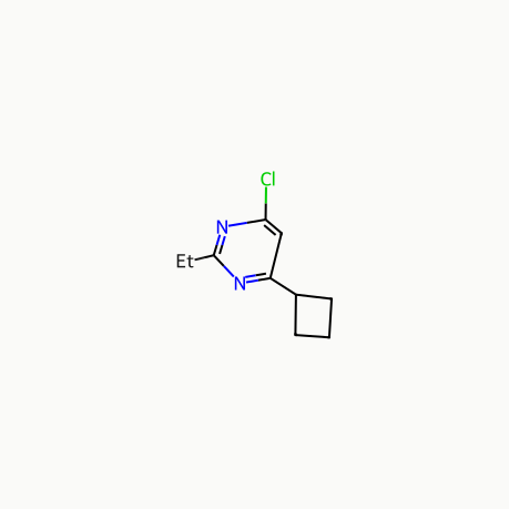 CCc1nc(Cl)cc(C2CCC2)n1